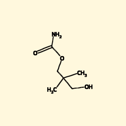 CC(C)(CO)COC(N)=O